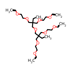 C=COCCOCC(CC)(COCCOC=C)COCC(CC)(COCCOC=C)COCCOC=C